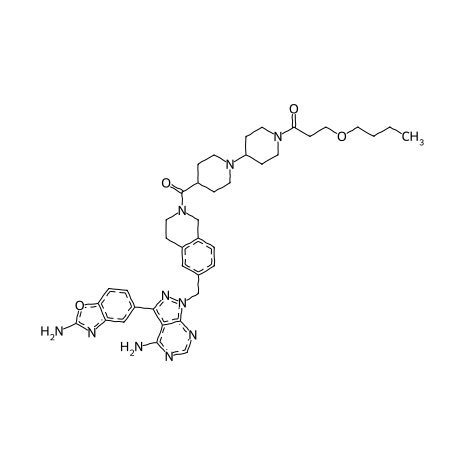 CCCCOCCC(=O)N1CCC(N2CCC(C(=O)N3CCc4cc(Cn5nc(-c6ccc7oc(N)nc7c6)c6c(N)ncnc65)ccc4C3)CC2)CC1